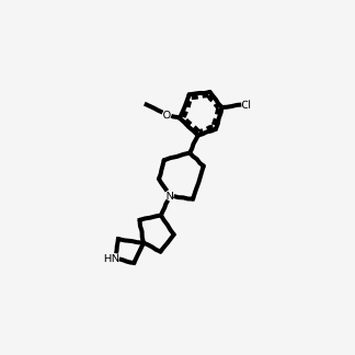 COc1ccc(Cl)cc1C1CCN(C2CCC3(CNC3)C2)CC1